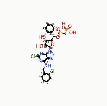 O=P(O)(O)CP(OC[C@H]1O[C@@H](n2nnc3c(NCc4ccccc4Cl)nc(Cl)nc32)[C@H](O)[C@@H]1O)Oc1ccccc1